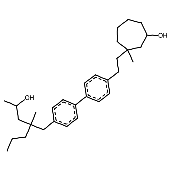 CCCC(C)(Cc1ccc(-c2ccc(CCC3(C)CCCCC(O)C3)cc2)cc1)CC(C)O